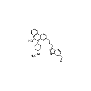 CNC1CCC(N(C(=O)O)c2cc(CCCn3nnc4cc(C=O)ccc43)ccc2-c2ccccc2)CC1